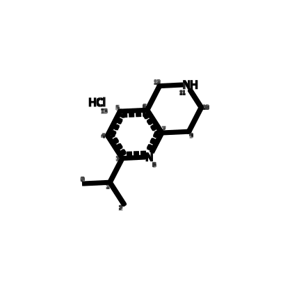 CC(C)c1ccc2c(n1)CCNC2.Cl